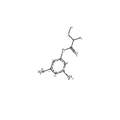 CCC(C)C(=O)Oc1cc(N)cc(N)c1